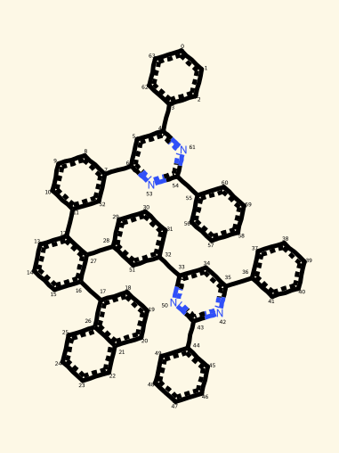 c1ccc(-c2cc(-c3cccc(-c4cccc(-c5cccc6ccccc56)c4-c4cccc(-c5cc(-c6ccccc6)nc(-c6ccccc6)n5)c4)c3)nc(-c3ccccc3)n2)cc1